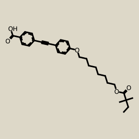 CCC(C)(C)C(=O)OCCCCCCCCOc1ccc(C#Cc2ccc(C(=O)O)cc2)cc1